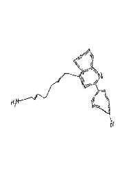 NCCCCCCc1cc(-c2ccc(Br)cc2)nc2ccccc12